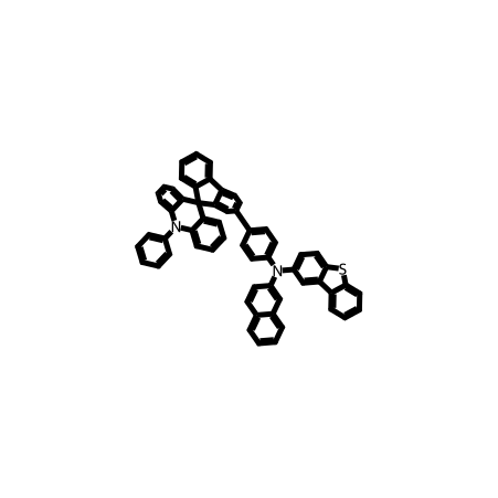 c1ccc(N2c3ccccc3C3(c4ccccc4-c4ccc(-c5ccc(N(c6ccc7ccccc7c6)c6ccc7sc8ccccc8c7c6)cc5)cc43)c3ccccc32)cc1